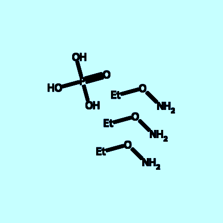 CCON.CCON.CCON.O=P(O)(O)O